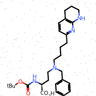 CC(C)(C)OC(=O)N[C@@H](CCN(CCCCc1ccc2c(n1)NCCC2)Cc1ccccc1)C(=O)O